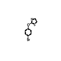 Brc1ccc(Oc2nccs2)cc1